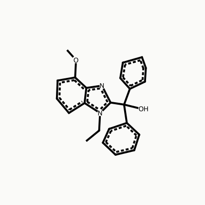 CCn1c(C(O)(c2ccccc2)c2ccccc2)nc2c(OC)cccc21